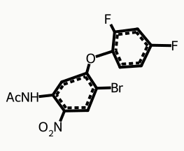 CC(=O)Nc1cc(Oc2ccc(F)cc2F)c(Br)cc1[N+](=O)[O-]